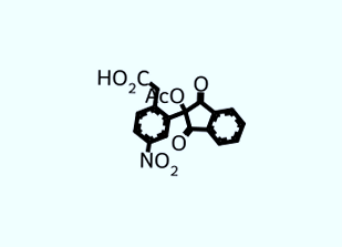 CC(=O)OC1(c2cc([N+](=O)[O-])ccc2CC(=O)O)C(=O)c2ccccc2C1=O